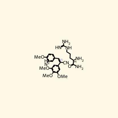 COc1ccc(/C=C(/C#N)c2cc(OC)c(OC)c(OC)c2)cc1N.N=C(N)NCCC[C@@H](N)C(N)=O